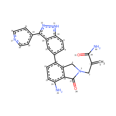 C=C(CN1Cc2c(-c3ccc4[nH]nc(-c5ccncc5)c4c3)ccc(N)c2C1=O)C(N)=O